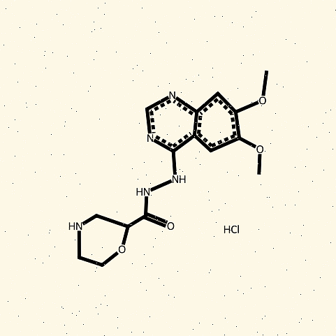 COc1cc2ncnc(NNC(=O)C3CNCCO3)c2cc1OC.Cl